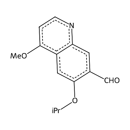 COc1ccnc2cc(C=O)c(OC(C)C)cc12